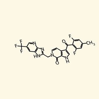 Cc1cc(F)c(C(=O)c2c[nH]c3c(=O)n(Cc4nc5ncc(C(F)(F)F)cc5[nH]4)ccc23)c(F)c1